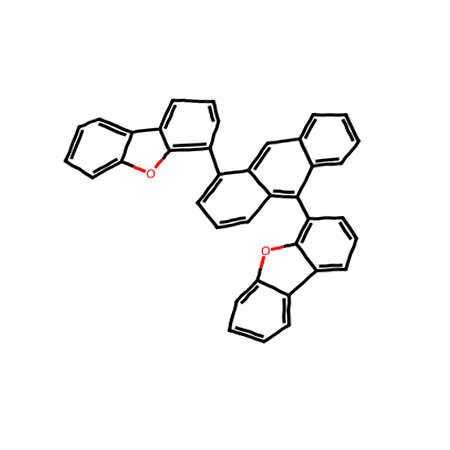 c1ccc2c(-c3cccc4c3oc3ccccc34)c3cccc(-c4cccc5c4oc4ccccc45)c3cc2c1